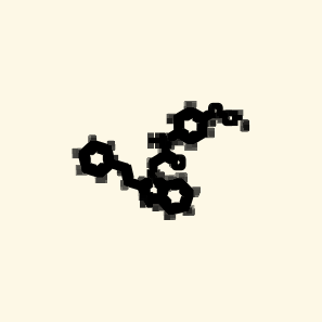 O=C(Cn1c(C=Cc2ccccc2)nc2ccccc21)Nc1ccc(OC(F)(F)F)cc1